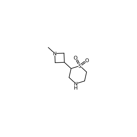 CN1CC(C2CNCCS2(=O)=O)C1